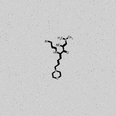 CN(C)/C=C(\C#N)C(=O)/C(=C/C=C/CN1CCOCC1)N/C=C/CBr